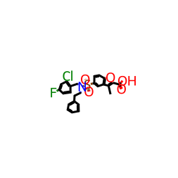 Cc1c(C(=O)O)oc2ccc(S(=O)(=O)N(CCc3ccccc3)Cc3ccc(F)cc3Cl)cc12